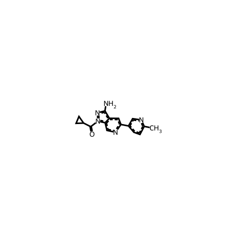 Cc1ccc(-c2cc3c(N)nn(C(=O)C4CC4)c3cn2)cn1